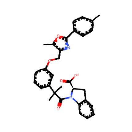 Cc1ccc(-c2nc(COc3cccc(C(C)(C)C(=O)N4c5ccccc5C[C@@H]4C(=O)O)c3)c(C)o2)cc1